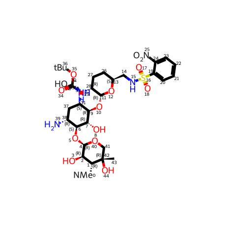 CN[C@@H]1[C@@H](O)[C@@H](O[C@@H]2[C@@H](O)[C@H](O[C@H]3O[C@H](CNS(=O)(=O)c4ccccc4[N+](=O)[O-])CC[C@H]3NC(=O)O)[C@@H](NC(=O)OC(C)(C)C)C[C@H]2N)OC[C@]1(C)O